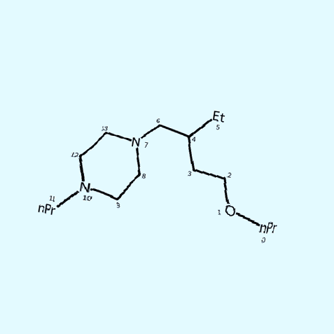 CCCOCCC(CC)CN1CCN(CCC)CC1